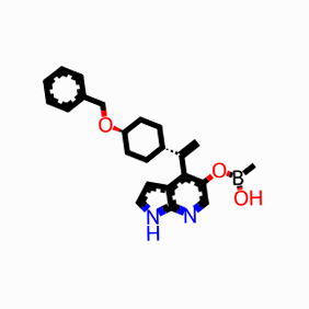 C=C(c1c(OB(C)O)cnc2[nH]ccc12)[C@H]1CC[C@H](OCc2ccccc2)CC1